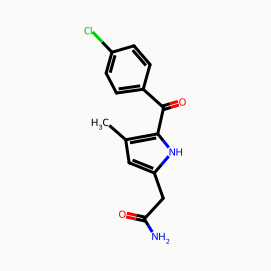 Cc1cc(CC(N)=O)[nH]c1C(=O)c1ccc(Cl)cc1